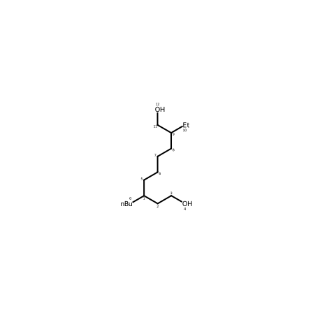 CCCCC(CCO)CCCCC(CC)CO